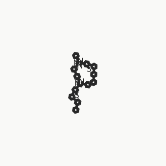 c1ccc(-c2ccc(-c3cccc4c3sc3cc(-c5nc(-c6ccccc6)nc(-c6cccc(-c7ccc(-c8nc(-c9ccccc9)cc(-c9ccc%10c(c9)sc9c(-c%11cccc(-c%12ccccc%12)c%11)cccc9%10)n8)cc7)c6)n5)ccc34)cc2)cc1